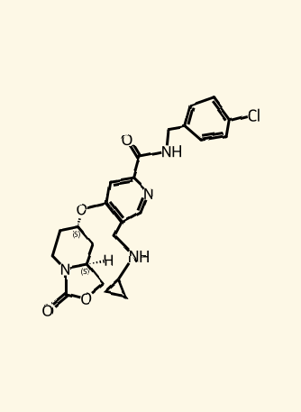 O=C(NCc1ccc(Cl)cc1)c1cc(O[C@H]2CCN3C(=O)OC[C@@H]3C2)c(CNC2CC2)cn1